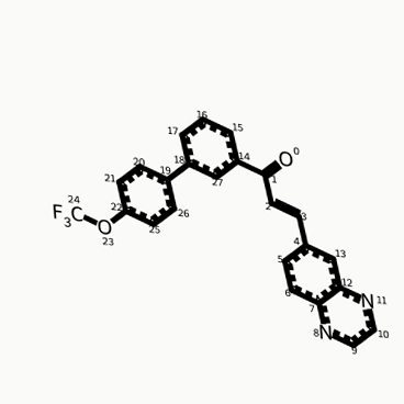 O=C(/C=C/c1ccc2nccnc2c1)c1cccc(-c2ccc(OC(F)(F)F)cc2)c1